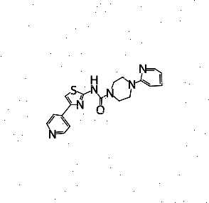 O=C(Nc1nc(-c2ccncc2)cs1)N1CCN(c2ccccn2)CC1